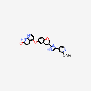 COc1cc(-c2c[nH]c(C3COc4ccc(Oc5ccnc6c5CCC(=O)N6)cc4C3)n2)ccn1